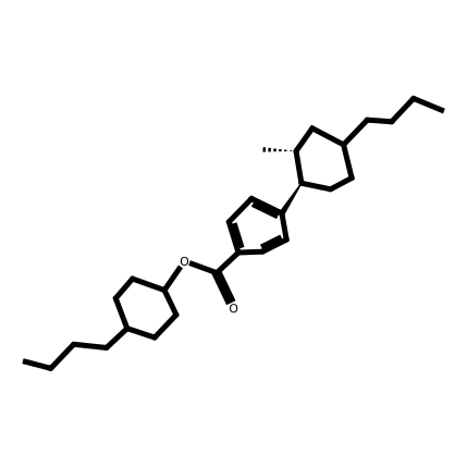 CCCCC1CCC(OC(=O)c2ccc([C@@H]3CCC(CCCC)C[C@H]3C)cc2)CC1